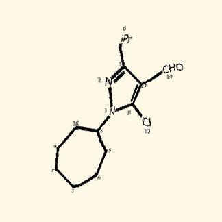 CC(C)c1nn(C2CCCCCC2)c(Cl)c1C=O